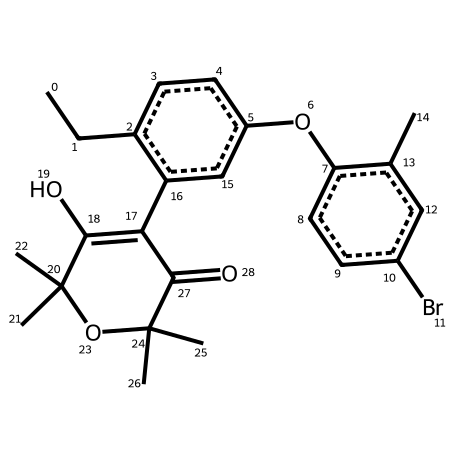 CCc1ccc(Oc2ccc(Br)cc2C)cc1C1=C(O)C(C)(C)OC(C)(C)C1=O